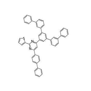 c1ccc(-c2ccc(-c3cc(-c4cc(-c5cccc(-c6ccccc6)c5)cc(-c5cccc(-c6ccccc6)c5)c4)nc(-c4cccs4)n3)cc2)cc1